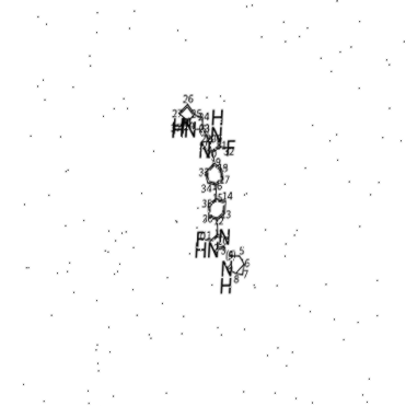 Fc1[nH]c([C@@H]2CC3CC3N2)nc1-c1ccc(-c2ccc(-c3nc([C@@H]4CC5=C=C[C@H]5N4)[nH]c3F)cc2)cc1